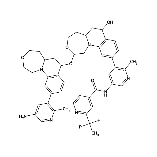 Cc1ncc(N)cc1-c1ccc2c(c1)N1CCOCCC1CC2OC1CN2c3cc(-c4cc(NC(=O)c5ccnc(C(C)(F)F)c5)cnc4C)ccc3C(O)CC2CCO1